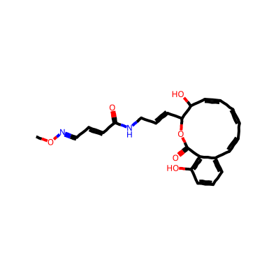 CON=CC=CC(=O)NCC=CC1OC(=O)c2c(O)cccc2C=CC=CC=CC1O